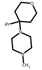 CC(C)C1(N2CCN(C)CC2)CCOCC1